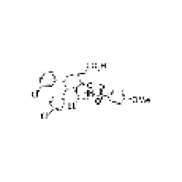 CCC(CNS(=O)(=O)c1ccc(OC)cc1)N1C(=O)C(C)(CC(=O)O)CC(c2cccc(Cl)c2)C1c1ccc(Cl)cc1